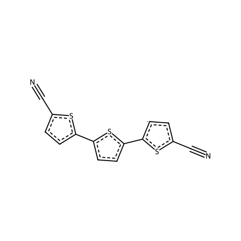 N#Cc1c[c]c(-c2ccc(-c3ccc(C#N)s3)s2)s1